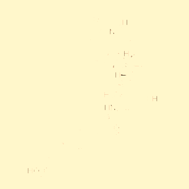 CC1C[C@H]2[C@@H]3CCC4N(C)C(=O)CC[C@]4(C)[C@@H]3CC[C@]2(C)C1CNC(=O)CCCCCCCC(=O)O